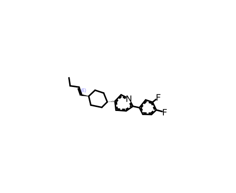 CC/C=C/[C@H]1CC[C@H](c2ccc(-c3ccc(F)c(F)c3)nc2)CC1